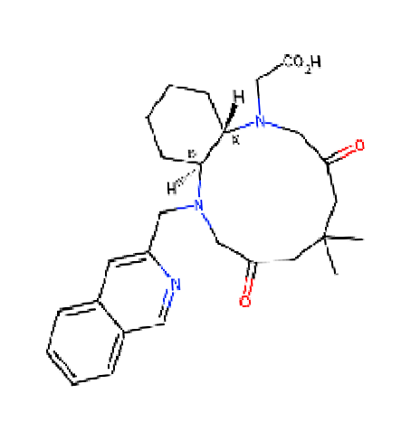 CC1(C)CC(=O)CN(CC(=O)O)[C@H]2CCCC[C@@H]2N(Cc2cc3ccccc3cn2)CC(=O)C1